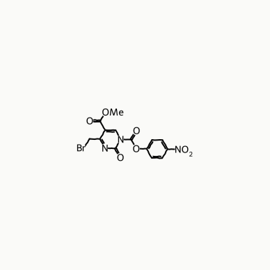 COC(=O)c1cn(C(=O)Oc2ccc([N+](=O)[O-])cc2)c(=O)nc1CBr